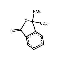 CNC1(C(=O)O)OC(=O)c2ccccc21